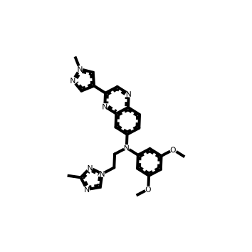 COc1cc(OC)cc(N(CCn2cnc(C)n2)c2ccc3ncc(-c4cnn(C)c4)nc3c2)c1